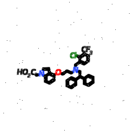 O=C(O)Cn1ccc2c(OCCCN(Cc3cccc(C(F)(F)F)c3Cl)CC(c3ccccc3)c3ccccc3)cccc21